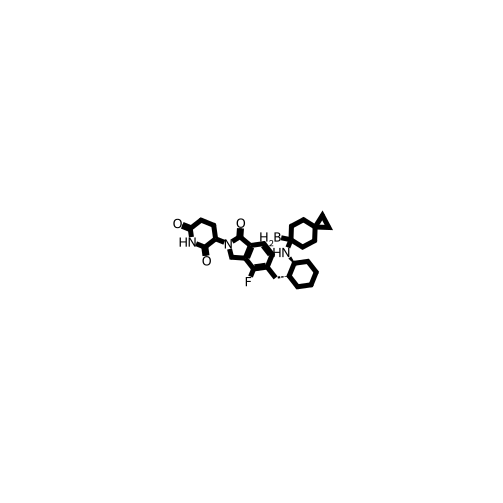 BC1(N[C@H]2CCCC[C@@H]2Cc2ccc3c(c2F)CN(C2CCC(=O)NC2=O)C3=O)CCC2(CC2)CC1